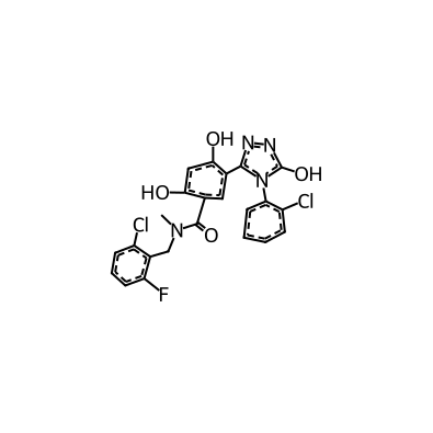 CN(Cc1c(F)cccc1Cl)C(=O)c1cc(-c2nnc(O)n2-c2ccccc2Cl)c(O)cc1O